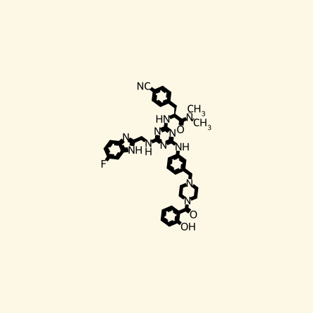 CN(C)C(=O)[C@H](Cc1ccc(C#N)cc1)Nc1nc(NCc2nc3ccc(F)cc3[nH]2)nc(Nc2cccc(CN3CCN(C(=O)c4ccccc4O)CC3)c2)n1